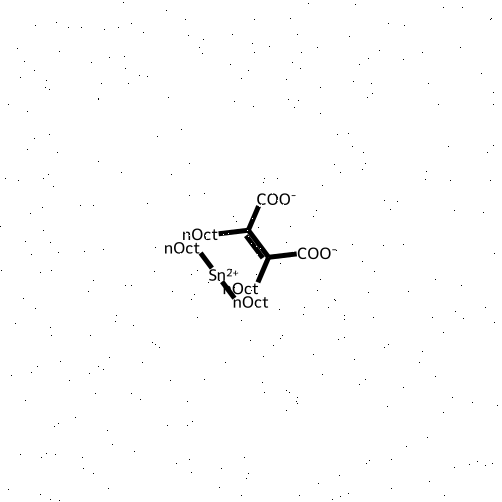 CCCCCCCC/C(C(=O)[O-])=C(\CCCCCCCC)C(=O)[O-].CCCCCCC[CH2][Sn+2][CH2]CCCCCCC